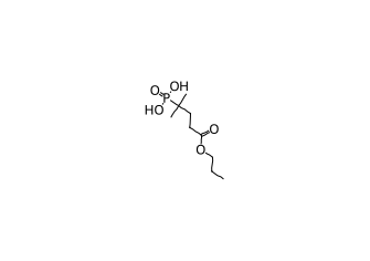 CCCOC(=O)CCC(C)(C)P(=O)(O)O